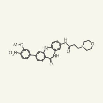 COc1cc(-c2ccc3c(c2)Nc2ccc(NC(=O)CCN4CCOCC4)cc2NC3=O)ccc1[N+](=O)[O-]